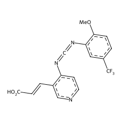 COc1ccc(C(F)(F)F)cc1N=C=Nc1ccncc1/C=C/C(=O)O